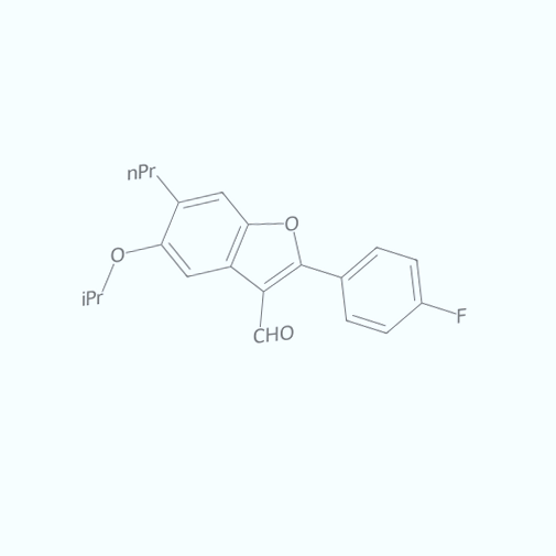 CCCc1cc2oc(-c3ccc(F)cc3)c(C=O)c2cc1OC(C)C